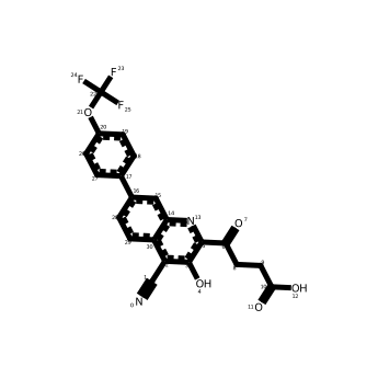 N#Cc1c(O)c(C(=O)CCC(=O)O)nc2cc(-c3ccc(OC(F)(F)F)cc3)ccc12